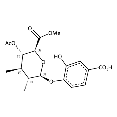 COC(=O)[C@H]1O[C@@H](Oc2ccc(C(=O)O)cc2O)[C@H](C)[C@@H](C)[C@@H]1OC(C)=O